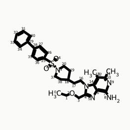 CCOCc1nc2c(N)nc(C)c(C)c2n1CCC1CCN(S(=O)(=O)c2ccc(-c3ccccc3)cc2)CC1